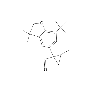 CC1CC1(C=O)c1cc(C(C)(C)C)c2c(c1)C(C)(C)CO2